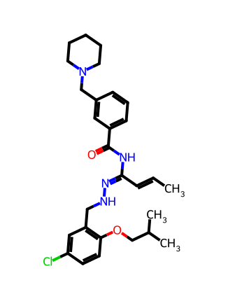 C/C=C/C(=N\NCc1cc(Cl)ccc1OCC(C)C)NC(=O)c1cccc(CN2CCCCC2)c1